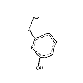 CCCSc1cccc(O)n1